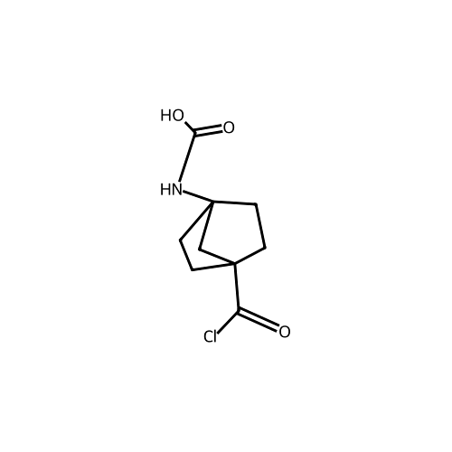 O=C(O)NC12CCC(C(=O)Cl)(CC1)C2